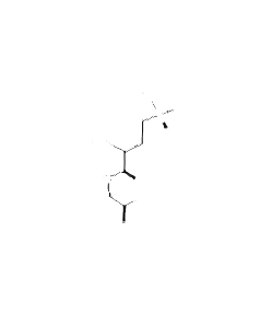 C[C@H](NC(=O)C(N)CCP(C)(=O)O)C(=O)O